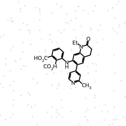 CCN1C(=O)CCc2cc(-c3ccnc(C)c3)c(Nc3cccc(C(=O)O)c3C(=O)O)cc21